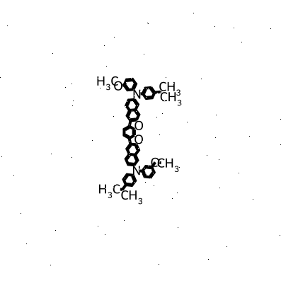 COc1cccc(N(c2ccc(C(C)C)cc2)c2ccc3cc4c(cc3c2)oc2c4ccc3c4cc5ccc(N(c6ccc(C(C)C)cc6)c6cccc(OC)c6)cc5cc4oc32)c1